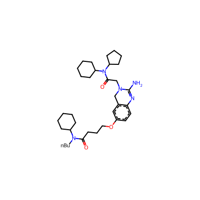 CCCCN(C(=O)CCCOc1ccc2c(c1)CN(CC(=O)N(C1CCCCC1)C1CCCC1)C(N)=N2)C1CCCCC1